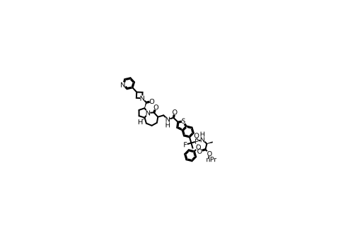 CCCOC(=O)[C@H](C)NP(=O)(Oc1ccccc1)C(C)(F)c1ccc2sc(C(=O)NCC3CCC[C@H]4CC[C@@H](C(=O)N5CC(c6cccnc6)C5)N4C3=O)cc2c1